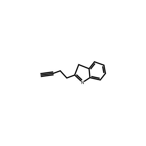 C#CCCC1=Nc2ccccc2C1